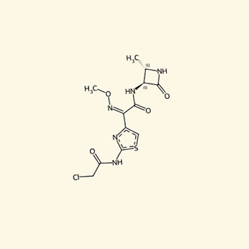 CON=C(C(=O)N[C@@H]1C(=O)N[C@H]1C)c1csc(NC(=O)CCl)n1